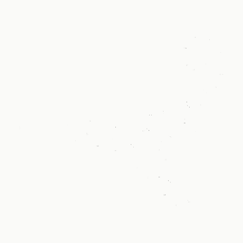 O=C(O)CCSCc1cccc(C(=O)Nc2ccc(N3CCCCC3)cc2-c2cc(C(=O)NCc3ccc4c(c3)OCCCO4)ccn2)c1